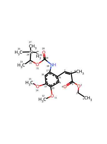 CCOC(=O)C(C)=Cc1cc(OC)c(OC)cc1NC(=O)OC(C)[Si](C)(C)C